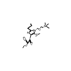 CCCc1nc(C(=O)C(=O)OCC)c(SC)n1COCC[Si](C)(C)C